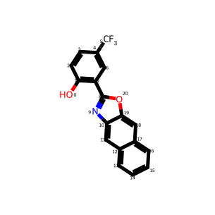 Oc1ccc(C(F)(F)F)cc1-c1nc2cc3ccccc3cc2o1